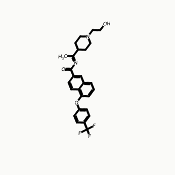 C/C(=N\C(=O)c1ccc2c(Oc3ccc(C(F)(F)F)cc3)cccc2c1)C1CCN(CCO)CC1